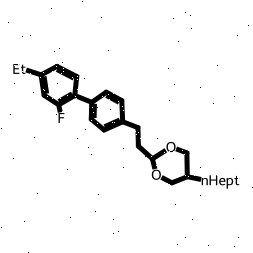 CCCCCCCC1COC(CCc2ccc(-c3ccc(CC)cc3F)cc2)OC1